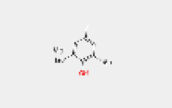 Cc1cc(C(C)(C)C)c(O)c(C(C)(C)C)c1.[Mg]